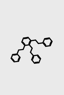 c1ccc(CCc2cccc(CCc3ccccc3)c2CCc2ccccc2)cc1